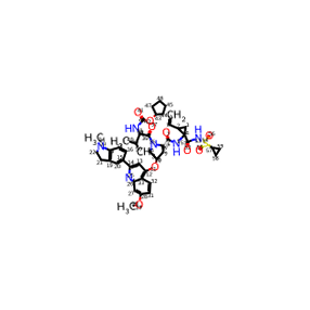 C=CC1CC1(NC(=O)[C@@H]1C[C@@H](Oc2cc(-c3ccc4c(c3)CCN4C)nc3cc(OC)ccc23)CN1C(=O)[C@@H](NC(=O)OC1CCCC1)C(C)C)C(=O)NS(=O)(=O)C1CC1